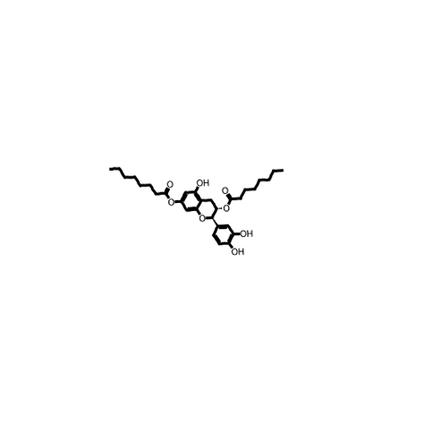 CCCCCCCC(=O)Oc1cc(O)c2c(c1)O[C@H](c1ccc(O)c(O)c1)[C@@H](OC(=O)CCCCCCC)C2